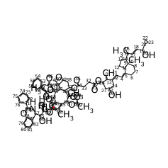 C=C1/C(=C/C=C2/CCC[C@@]3(C)C2CCC3[C@@H](C)/C=C/C(O)C2CC2)C[C@@H](O)C[C@@H]1OC(=O)CCC(=O)OC1CC2OCC2(OC(C)=O)C2C(OC(=O)c3ccccc3)C3(O)CC(OC(=O)C(O)C(NC(=O)c4ccccc4)c4ccccc4)C(C)=C(C(OC(C)=O)C(=O)C12C)C3(C)C